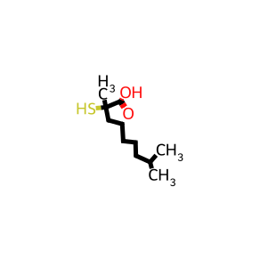 CC(C)CCCCCC(C)(S)C(=O)O